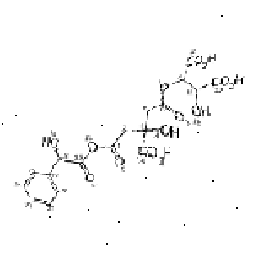 O=C(CC(O)(CC(=O)OC(C(=O)O)C(O)C(=O)O)C(=O)O)OC(=O)[C@H](O)c1ccccc1